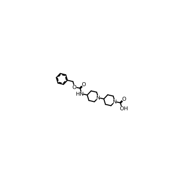 O=C(NC1CCN(C2CCN(C(=O)O)CC2)CC1)OCc1ccccc1